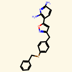 Nc1ccc(-c2cc(Cc3ccc(SCc4ccccc4)cc3)no2)c(N)n1